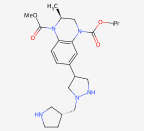 COC(=O)N1c2ccc(C3CNN(C[C@@H]4CCNC4)C3)cc2N(C(=O)OC(C)C)C[C@@H]1C